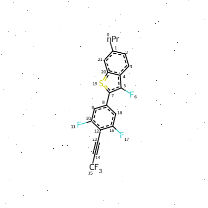 CCCc1ccc2c(F)c(-c3cc(F)c(C#CC(F)(F)F)c(F)c3)sc2c1